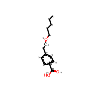 CCCCCOCCc1ccc(C(=O)O)cc1